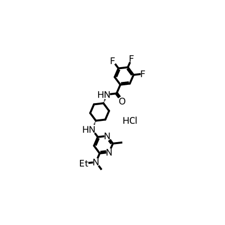 CCN(C)c1cc(N[C@H]2CC[C@@H](NC(=O)c3cc(F)c(F)c(F)c3)CC2)nc(C)n1.Cl